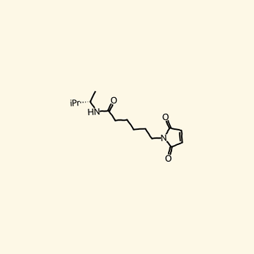 CC(C)[C@H](C)NC(=O)CCCCCN1C(=O)C=CC1=O